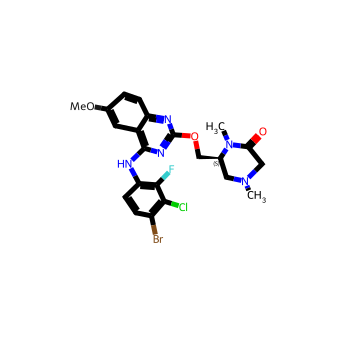 COc1ccc2nc(OC[C@@H]3CN(C)CC(=O)N3C)nc(Nc3ccc(Br)c(Cl)c3F)c2c1